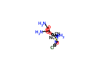 N#Cc1c(N)nc(SCc2coc(-c3ccc(Cl)cc3)n2)c(C#N)c1-c1ccc(OC[C@@H](COC(=O)CCCCN)OC(=O)CCCCN)cc1